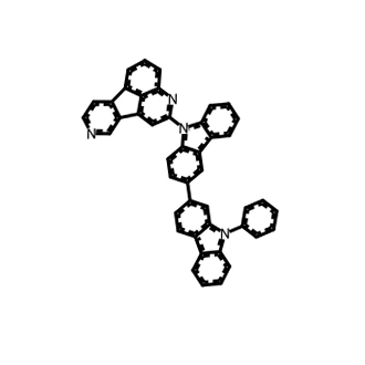 c1ccc(-n2c3ccccc3c3ccc(-c4ccc5c(c4)c4ccccc4n5-c4cc5c6c(cccc6n4)-c4ccncc4-5)cc32)cc1